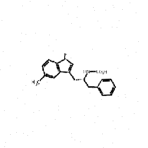 Cc1ccc2[nH]cc(C[C@@H](Cc3ccccc3)NC(=O)O)c2c1